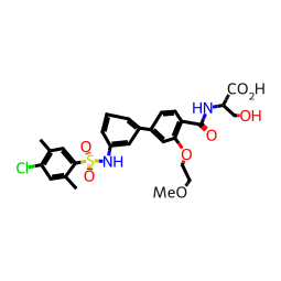 COCCOc1cc(-c2cccc(NS(=O)(=O)c3cc(C)c(Cl)cc3C)c2)ccc1C(=O)NC(CO)C(=O)O